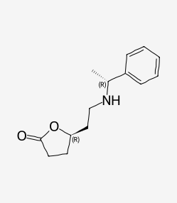 C[C@@H](NCC[C@H]1CCC(=O)O1)c1ccccc1